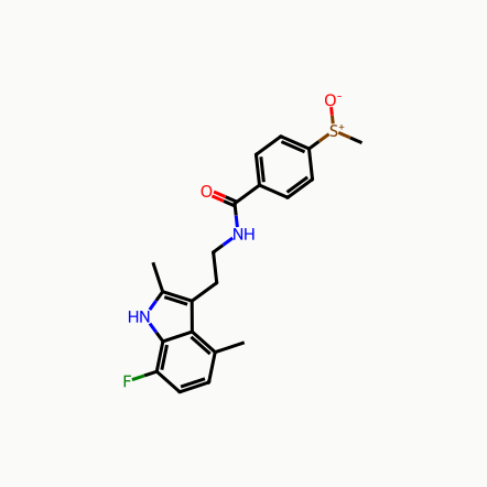 Cc1[nH]c2c(F)ccc(C)c2c1CCNC(=O)c1ccc([S+](C)[O-])cc1